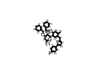 CC[C@@H]1C[C@H](OCc2ccccc2)[C@@H](OCc2ccccc2)[C@H](c2cc(Cc3ccc(-c4ccc(F)cc4)s3)c(C)cc2O)O1